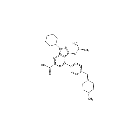 CC(C)Oc1nn(C2CCCCC2)c2nc(C(=O)O)cc(-c3ccc(CN4CCN(C)CC4)cc3)c12